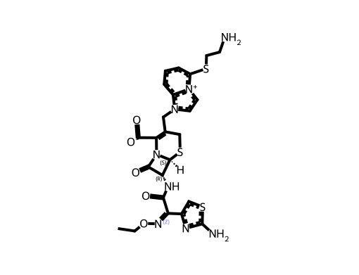 CCO/N=C(\C(=O)N[C@@H]1C(=O)N2C(C(=O)[O-])=C(Cn3cc[n+]4c(SCCN)cccc34)CS[C@@H]12)c1csc(N)n1